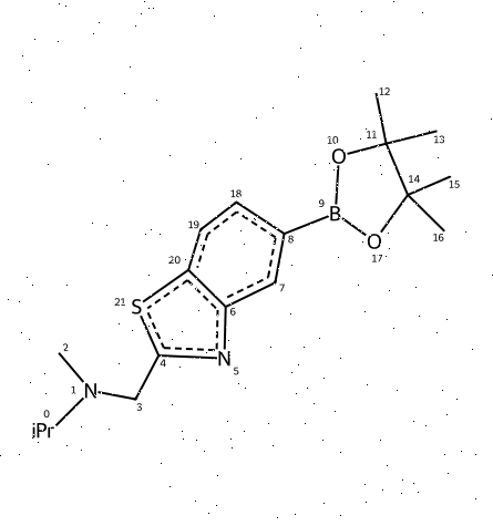 CC(C)N(C)Cc1nc2cc(B3OC(C)(C)C(C)(C)O3)ccc2s1